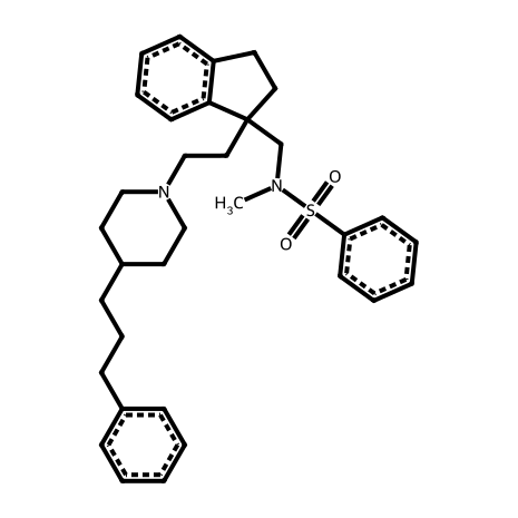 CN(CC1(CCN2CCC(CCCc3ccccc3)CC2)CCc2ccccc21)S(=O)(=O)c1ccccc1